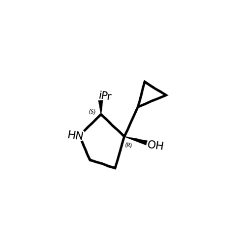 CC(C)[C@@H]1NCC[C@@]1(O)C1CC1